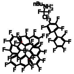 CCCC[NH2+]C(F)(F)C(F)(F)F.Fc1c(F)c(F)c(-c2c(F)c(F)c(F)c(F)c2F)c(F)c1F.Fc1ccc2c([B-](c3c(F)c(F)c(F)c4c(F)c(F)ccc34)(c3c(F)c(F)c(F)c4c(F)c(F)ccc34)c3c(F)c(F)c(F)c4c(F)c(F)ccc34)c(F)c(F)c(F)c2c1F